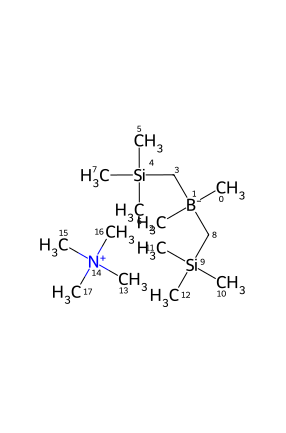 C[B-](C)(C[Si](C)(C)C)C[Si](C)(C)C.C[N+](C)(C)C